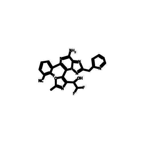 Cc1nc(C(O)C(F)F)c(-c2c(-c3cccc(C#N)c3F)nc(N)c3nc(Cc4ccccn4)nn23)o1